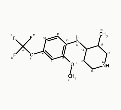 COc1cc(OC(F)(F)F)ccc1NC1CCNCC1C